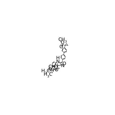 CCOC(=O)C1(c2ccc(-c3ccc(-c4onc(C)c4Nc4cccc(C(=O)N(CC)N(C)C)n4)cc3)cc2)CC1